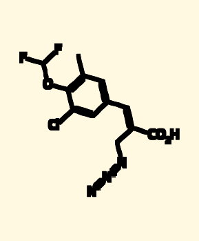 Cc1cc(C=C(CN=[N+]=[N-])C(=O)O)cc(Cl)c1OC(F)F